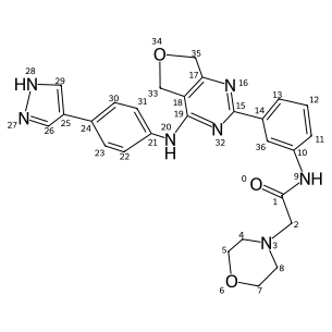 O=C(CN1CCOCC1)Nc1cccc(-c2nc3c(c(Nc4ccc(-c5cn[nH]c5)cc4)n2)COC3)c1